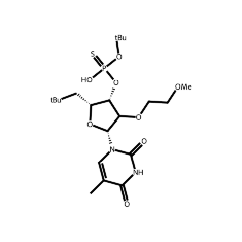 COCCOC1[C@@H](OP(O)(=S)OC(C)(C)C)[C@@H](CC(C)(C)C)O[C@H]1n1cc(C)c(=O)[nH]c1=O